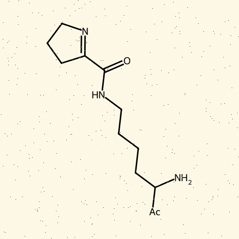 CC(=O)C(N)CCCCNC(=O)C1=NCCC1